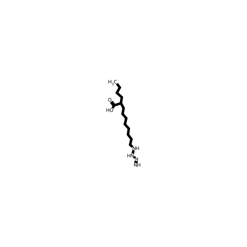 CCCCC(CCCCCCCCNNN=N)C(=O)O